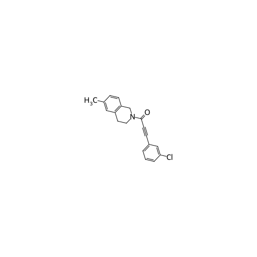 Cc1ccc2c(c1)CCN(C(=O)C#Cc1cccc(Cl)c1)C2